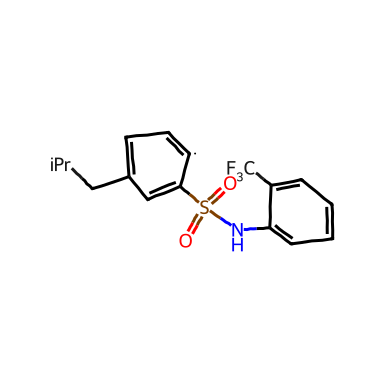 CC(C)Cc1cc[c]c(S(=O)(=O)Nc2ccccc2C(F)(F)F)c1